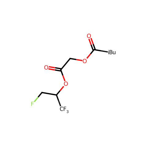 CCC(C)C(=O)OCC(=O)OC(CF)C(F)(F)F